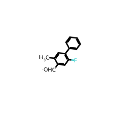 Cc1cc(-c2ccccc2)c(F)cc1[C]=O